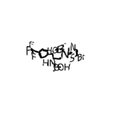 CB(O)NC(Cc1ccc(C(F)(F)F)cc1)CN(B(C)O)c1ncc(Br)s1